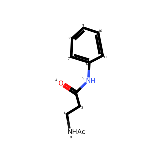 CC(=O)NCCC(=O)Nc1ccccc1